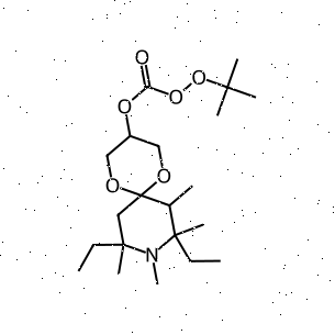 CCC1(C)CC2(OCC(OC(=O)OOC(C)(C)C)CO2)C(C)C(C)(CC)N1C